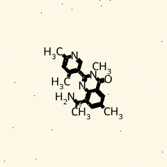 Cc1cc([C@@H](C)N)c2nc(-c3cnc(C)cc3C)n(C)c(=O)c2c1